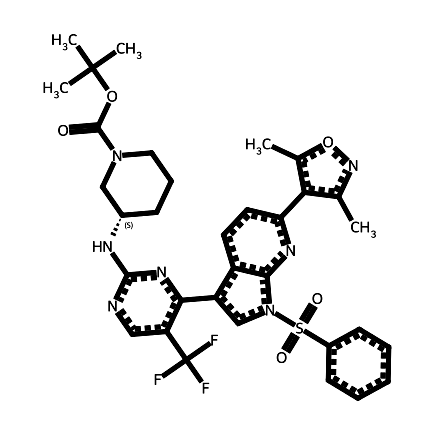 Cc1noc(C)c1-c1ccc2c(-c3nc(N[C@H]4CCCN(C(=O)OC(C)(C)C)C4)ncc3C(F)(F)F)cn(S(=O)(=O)c3ccccc3)c2n1